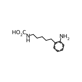 Nc1ccccc1CCCCCNC(=O)O